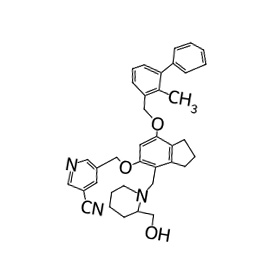 Cc1c(COc2cc(OCc3cncc(C#N)c3)c(CN3CCCCC3CO)c3c2CCC3)cccc1-c1ccccc1